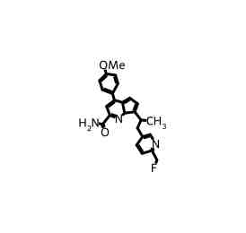 COc1ccc(C2=CC(C(N)=O)=NC3C2=CC=C3C(C)Cc2ccc(CF)nc2)cc1